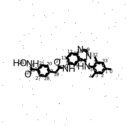 Cc1cc(C)c(Nc2ncnc3ccc(NC(=O)Cc4ccc(C(=O)NO)cc4)cc23)c(C)c1